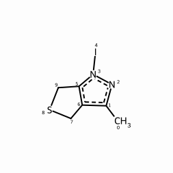 Cc1nn(I)c2c1CSC2